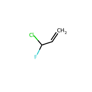 C=C[C](F)Cl